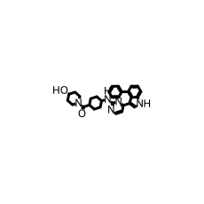 O=C(C1CCC(Nc2nccc(-c3c[nH]c4cccc(-c5ccccc5)c34)n2)CC1)N1CCC(O)CC1